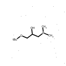 CN(C)CC(O)COC(C)(C)C